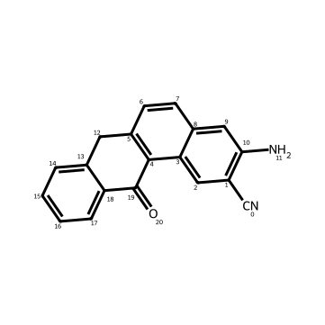 N#Cc1cc2c3c(ccc2cc1N)Cc1ccccc1C3=O